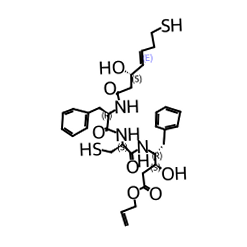 C=CCOC(=O)C[C@H](O)[C@@H](Cc1ccccc1)NC(=O)[C@@H](CS)NC(=O)[C@@H](Cc1ccccc1)NC(=O)C[C@H](O)/C=C/CCS